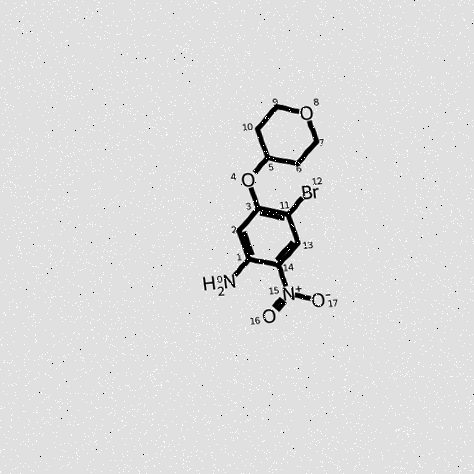 Nc1cc(OC2CCOCC2)c(Br)cc1[N+](=O)[O-]